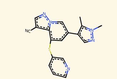 Cc1c(-c2cc(Sc3cccnc3)c3c(C#N)cnn3c2)cnn1C